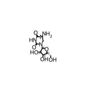 NN1CN([C@@H]2O[C@H](CO)[C@@H](O)[C@H]2O)C(=O)NC1=O